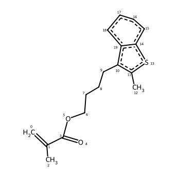 C=C(C)C(=O)OCCCCc1c(C)sc2ccccc12